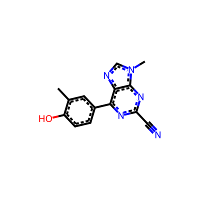 Cc1cc(-c2nc(C#N)nc3c2ncn3C)ccc1O